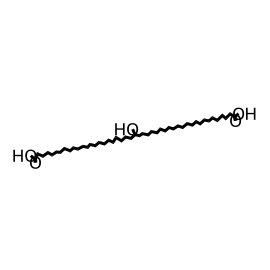 O=C(O)CCCCCCCCCCCCCCCCCCCCCCC(O)CCCCCCCCCCCCCCCCCCCCCCC(=O)O